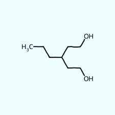 CCCC(CCO)CCO